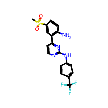 CS(=O)(=O)c1ccc(N)c(-c2ccnc(Nc3ccc(C(F)(F)F)cc3)n2)c1